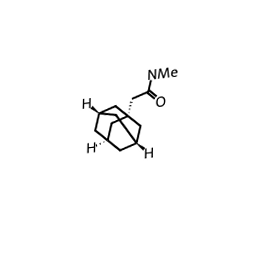 CNC(=O)C[C@]12C[C@H]3C[C@H](C[C@H](C3)C1)C2